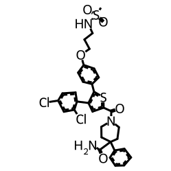 CS(=O)(=O)NCCCOc1ccc(-c2sc(C(=O)N3CCC(C(N)=O)(c4ccccc4)CC3)cc2-c2ccc(Cl)cc2Cl)cc1